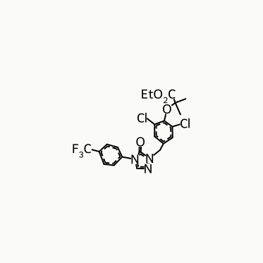 CCOC(=O)C(C)(C)Oc1c(Cl)cc(Cn2ncn(-c3ccc(C(F)(F)F)cc3)c2=O)cc1Cl